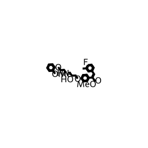 COC(=O)C(=Cc1ccc(F)c(C)c1)c1ccc(OCC(O)CNCCOc2ccccc2OC)cc1